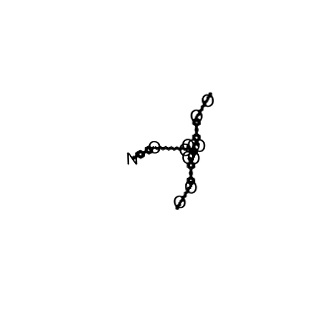 C=CCOCCCCCCOc1ccc(C#Cc2ccc(C(=O)Oc3ccc(OC(=O)c4ccc(C#Cc5ccc(OCCCCCCOCC=C)cc5)cc4)c(C(=O)OCCCCCCCCCCOc4ccc(-c5ccc(C#N)cc5)cc4)c3)cc2)cc1